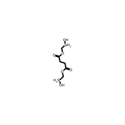 O=C(CCC(=O)OC[SiH2]O)OC[SiH2]O